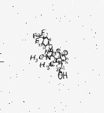 Cc1nc(Oc2ccc(C(F)(F)F)cc2)cc(-c2c(C)n(CCO)c3ccc(=O)n(C)c23)n1